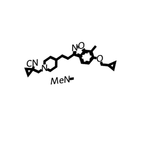 CNC.Cc1c(OCC2CC2)ccc2c(CCC3CCN(CC4(C#N)CC4)CC3)noc12